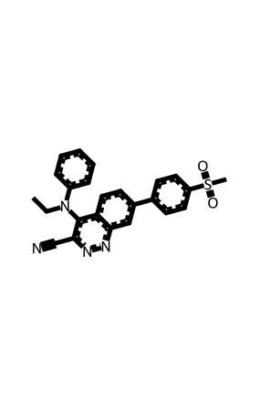 CCN(c1ccccc1)c1c(C#N)nnc2cc(-c3ccc(S(C)(=O)=O)cc3)ccc12